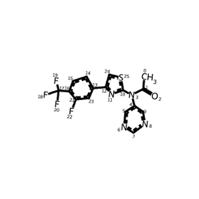 CC(=O)N(c1cncnc1)c1nc(-c2ccc(C(F)(F)F)c(F)c2)cs1